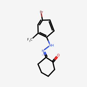 O=C1CCCC/C1=N/Nc1ccc(Br)cc1C(F)(F)F